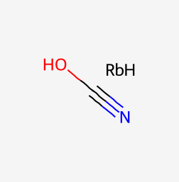 N#CO.[RbH]